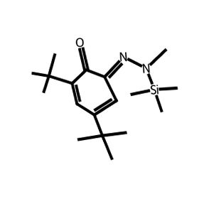 CN(N=C1C=C(C(C)(C)C)C=C(C(C)(C)C)C1=O)[Si](C)(C)C